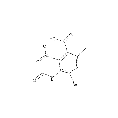 Cc1cc(Br)c(NC=O)c([N+](=O)[O-])c1C(=O)O